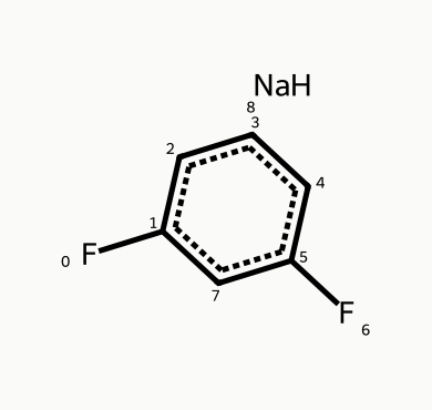 Fc1cccc(F)c1.[NaH]